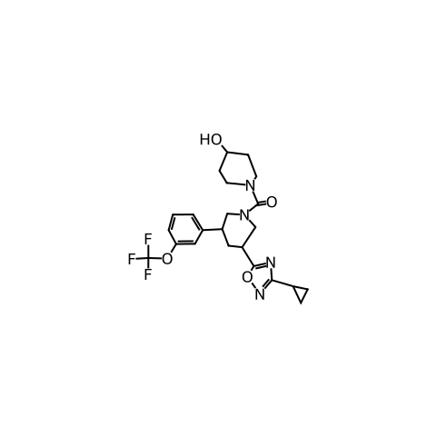 O=C(N1CCC(O)CC1)N1CC(c2cccc(OC(F)(F)F)c2)CC(c2nc(C3CC3)no2)C1